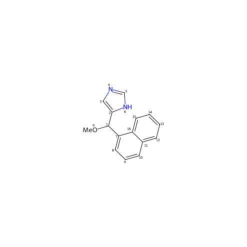 COC(c1cnc[nH]1)c1cccc2ccccc12